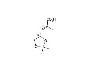 C/C(=C\[C@H]1COC(C)(C)O1)C(=O)O